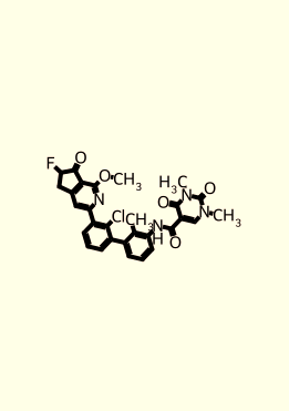 COc1nc(-c2cccc(-c3cccc(NC(=O)c4cn(C)c(=O)n(C)c4=O)c3C)c2Cl)cc2c1C(=O)C(F)C2